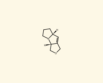 C1=C2COC[C@@H]2N2CCC[C@H]12